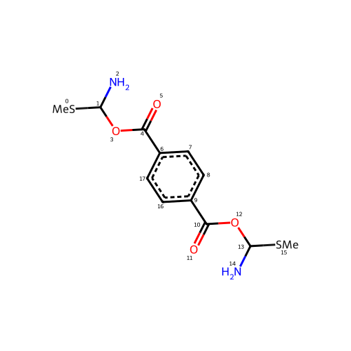 CSC(N)OC(=O)c1ccc(C(=O)OC(N)SC)cc1